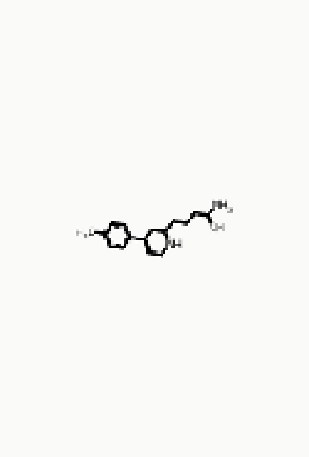 Cc1ccc(C2=CCNC(CCCC(=N)N)C2)cc1